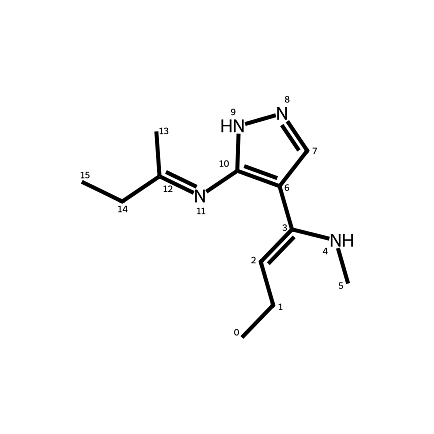 CC/C=C(\NC)c1cn[nH]c1/N=C(\C)CC